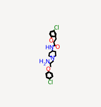 NC(COc1ccc(Cl)cc1)CN1CCC(NC(=O)C2Cc3cc(Cl)ccc3O2)CC1